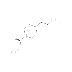 CC(C)OC(=O)N1CCC(CCN)CC1